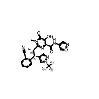 [2H]C([2H])([2H])n1cc([C@@H](c2ccccc2C#N)[C@H](C)c2nc(C(=O)Nc3cnoc3)c(O)c(=O)n2C)cn1